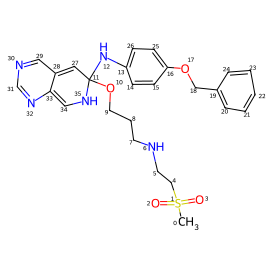 CS(=O)(=O)CCNCCCOC1(Nc2ccc(OCc3ccccc3)cc2)C=c2cncnc2=CN1